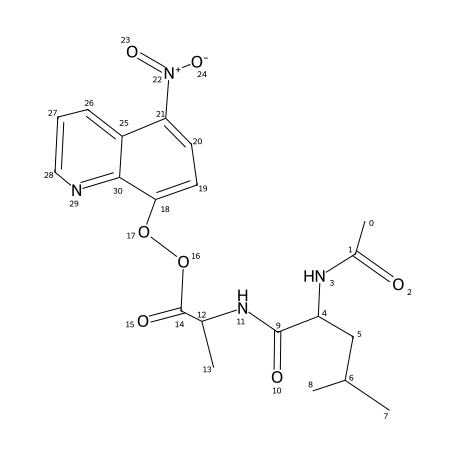 CC(=O)NC(CC(C)C)C(=O)NC(C)C(=O)OOc1ccc([N+](=O)[O-])c2cccnc12